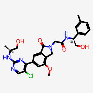 COc1cc(-c2nc(N[C@@H](C)CO)ncc2Cl)cc2c1CN(CC(=O)N[C@H](CO)c1cccc(C)c1)C2=O